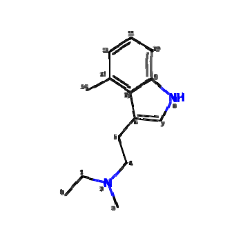 CCN(C)CCc1c[nH]c2cccc(C)c12